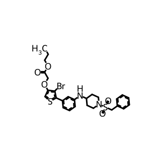 CCCOC(=O)COc1csc(-c2cccc(NC3CCN(S(=O)(=O)Cc4ccccc4)CC3)c2)c1Br